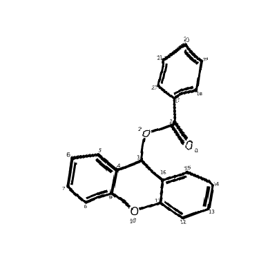 O=C(OC1c2ccccc2Oc2ccccc21)c1ccccc1